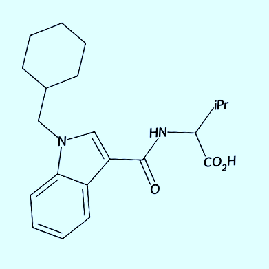 CC(C)C(NC(=O)c1cn(CC2CCCCC2)c2ccccc12)C(=O)O